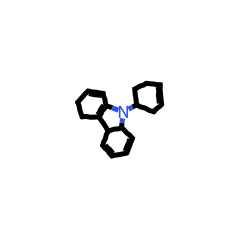 C1=CC2C3=C(C=CCC3)N(C3CC=CCC3)C2C=C1